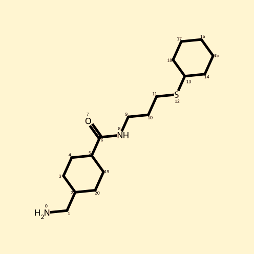 NCC1CCC(C(=O)NCCCSC2CCCCC2)CC1